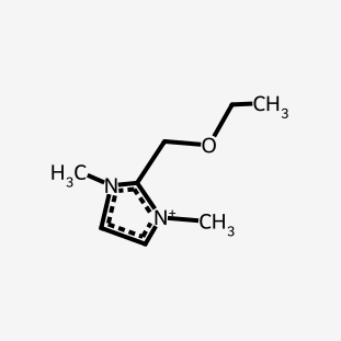 CCOCc1n(C)cc[n+]1C